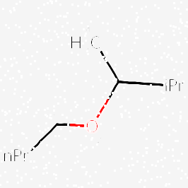 CCCCOC(C)C(C)C